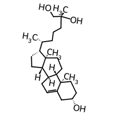 C[C@H](CCC[C@@](C)(O)CO)[C@H]1CC[C@H]2[C@@H]3CC=C4C[C@@H](O)CC[C@]4(C)[C@H]3CC[C@]12C